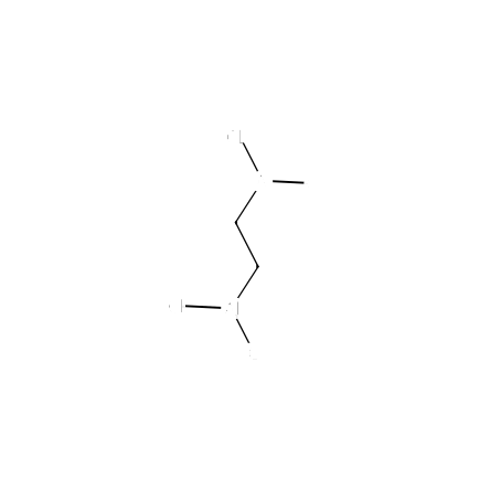 [Cl][Al]([Cl])[CH2][CH2][Al]([Cl])[Cl]